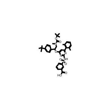 Cc1cccc(C)c1-c1cc(OC(CN(C)C(=O)OC(C)(C)C)c2ccc(C(C)(C)C)cc2)nc(NS(=O)(=O)c2cccc(C(=O)O)c2)n1